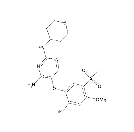 COc1cc(C(C)C)c(Oc2cnc(NC3CCSCC3)nc2N)cc1S(C)(=O)=O